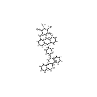 [2H]c1c([2H])c([2H])c(-c2c3ccccc3c(-c3ccc(-c4cc5c6ccccc6ccc5c5ccccc45)nc3)c3ccccc23)c([2H])c1[2H]